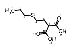 CCCSCCC(C(=O)O)C(=O)O